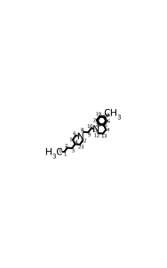 CCCCC1CCN(CCCN2CCCc3cc(C)ccc32)CC1